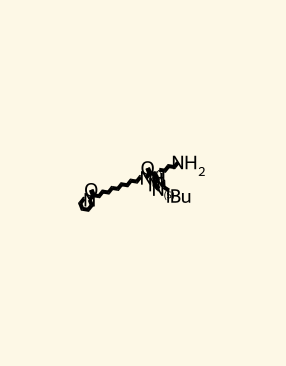 CC[C@H](C)Cc1cn([C@@H](CCCCN)C(=O)NCCCCCCCCCCC(=O)N2CCCCC2)nn1